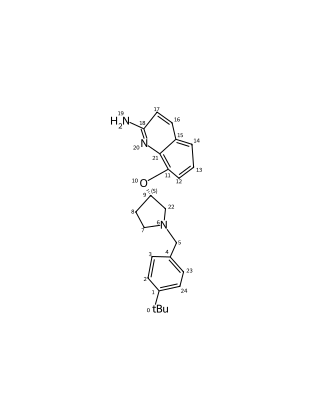 CC(C)(C)c1ccc(CN2CC[C@H](Oc3cccc4ccc(N)nc34)C2)cc1